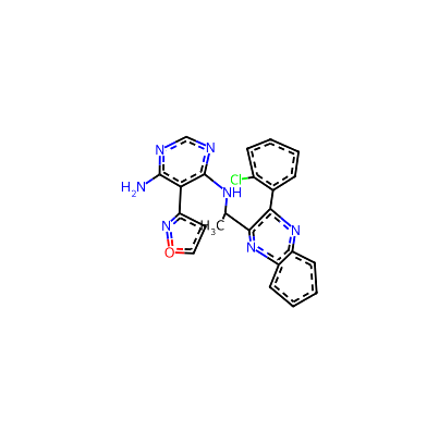 CC(Nc1ncnc(N)c1-c1ccon1)c1nc2ccccc2nc1-c1ccccc1Cl